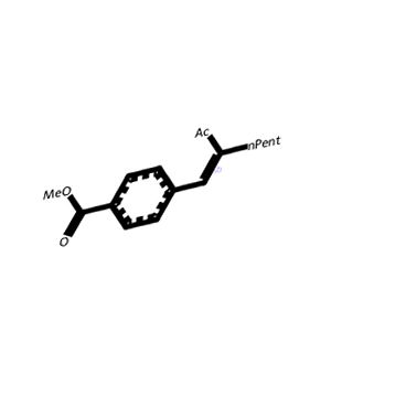 CCCCC/C(=C/c1ccc(C(=O)OC)cc1)C(C)=O